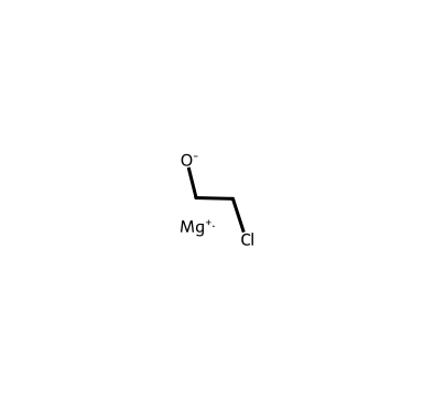 [Mg+].[O-]CCCl